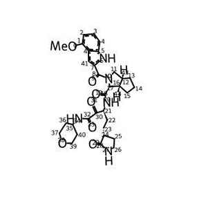 COc1cccc2[nH]c(C(=O)N3C[C@@H]4CCC[C@@H]4[C@H]3C(=O)N[C@@H](CC[C@@H]3CCNC3=O)C(=O)C(=O)NC3CCOCC3)cc12